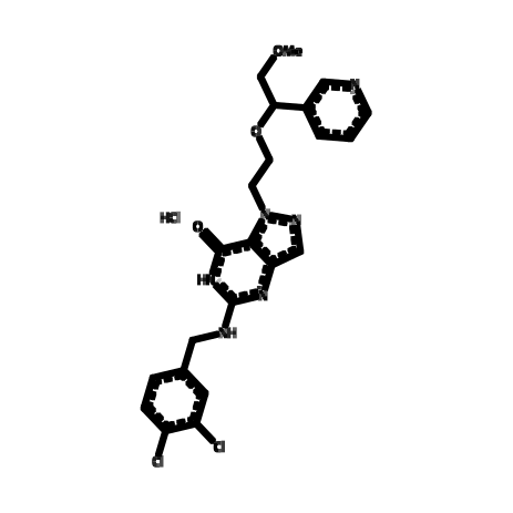 COCC(OCCn1ncc2nc(NCc3ccc(Cl)c(Cl)c3)[nH]c(=O)c21)c1cccnc1.Cl